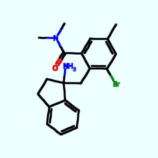 Cc1cc(Br)c(CC2(N)CCc3ccccc32)c(C(=O)N(C)C)c1